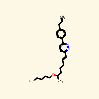 C=CCc1ccc(-c2ccc(/C=C/CCCC(C)OCCCCC)nn2)cc1